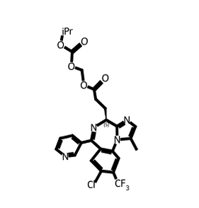 Cc1cnc2n1-c1cc(C(F)(F)F)c(Cl)cc1C(c1cccnc1)=N[C@H]2CCC(=O)OCOC(=O)OC(C)C